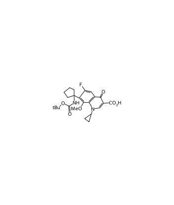 COc1c(C2(NC(=O)OC(C)(C)C)CCCC2)c(F)cc2c(=O)c(C(=O)O)cn(C3CC3)c12